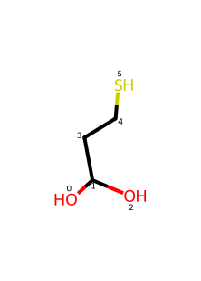 OC(O)CCS